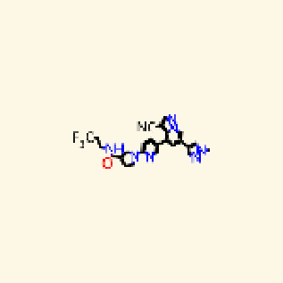 Cn1cc(-c2cc(-c3ccc(N4CCC(C(=O)NCCC(F)(F)F)C4)nc3)c3c(C#N)cnn3c2)cn1